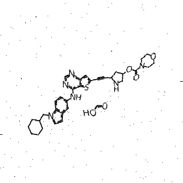 O=C(OC1CNC(C#Cc2cc3ncnc(Nc4ccc5c(ccn5CC5CCCCC5)c4)c3s2)C1)N1CCOCC1.O=CO